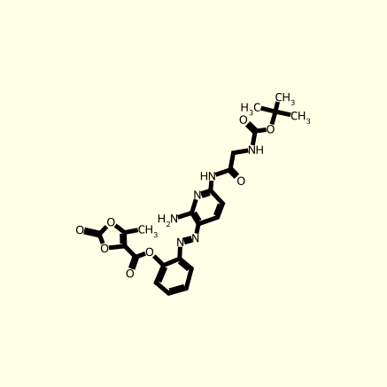 Cc1oc(=O)oc1C(=O)Oc1ccccc1/N=N/c1ccc(NC(=O)CNC(=O)OC(C)(C)C)nc1N